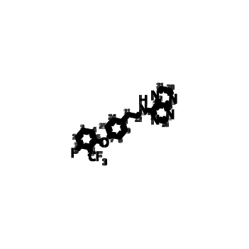 Fc1cccc(Oc2ccc(CCNc3ncnc4nccnc34)cc2)c1C(F)(F)F